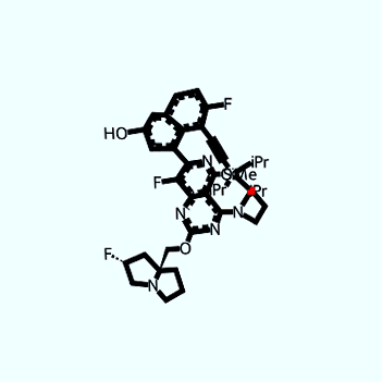 COc1nc(-c2cc(O)cc3ccc(F)c(C#C[Si](C(C)C)(C(C)C)C(C)C)c23)c(F)c2nc(OC[C@@]34CCCN3C[C@H](F)C4)nc(N3CCC3)c12